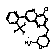 CC1CN(Cc2nc(Cl)c3ncc(-c4ncccc4C(F)(F)F)cc3n2)CCO1